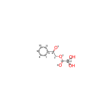 O=C(OCC(=O)c1ccccc1)B(O)O